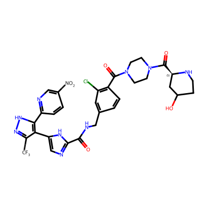 O=C(NCc1ccc(C(=O)N2CCN(C(=O)[C@@H]3CC(O)CCN3)CC2)c(Cl)c1)c1ncc(-c2c(C(F)(F)F)n[nH]c2-c2ccc([N+](=O)[O-])cn2)[nH]1